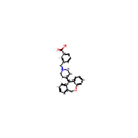 O=C(O)c1cccc(CN2CCC(=C3c4ccccc4COc4ccccc43)CC2)c1